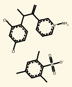 C=C(c1ccc[n+](N)c1)C(C)c1ccc(Cl)cc1Cl.Cc1cc(C)c(S(=O)(=O)[O-])c(C)c1